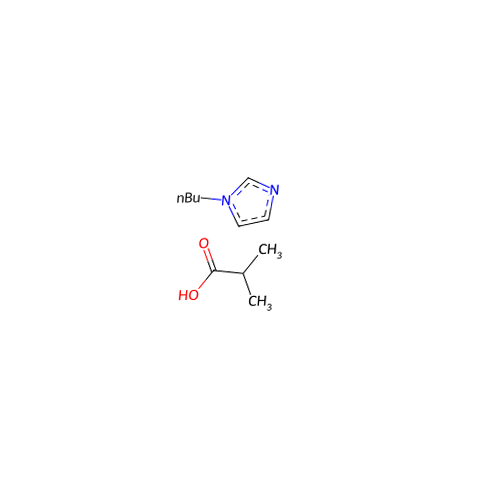 CC(C)C(=O)O.CCCCn1ccnc1